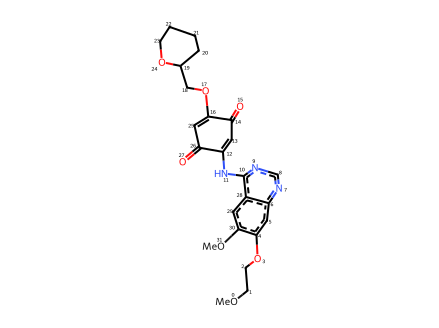 COCCOc1cc2ncnc(NC3=CC(=O)C(OCC4CCCCO4)=CC3=O)c2cc1OC